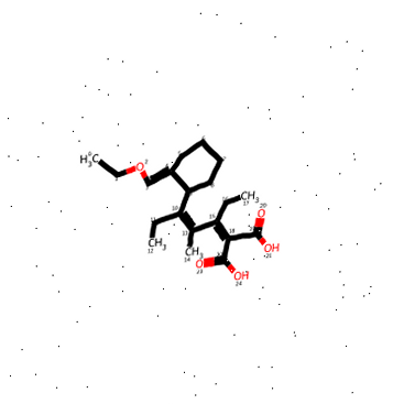 CCOC=C1CCCCC1C(CC)=C(C)C(CC)=C(C(=O)O)C(=O)O